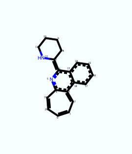 C1=CC=c2c(nc(=C3CCCCN3)c3ccccc23)C=C1